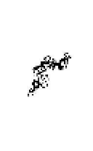 CCc1cc(=O)n2nc(-c3ccnc(OC)c3)nc2n1CC(=O)Nc1ccc(C(F)(F)F)cc1Cl